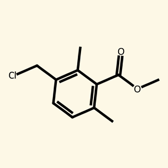 COC(=O)c1c(C)ccc(CCl)c1C